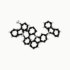 N#Cc1cccc(-n2c3ccccc3c3ccc(-n4c5ccccc5c5ccccc54)cc32)c1-c1ccccc1-n1c2ccccc2c2c(C#N)cccc21